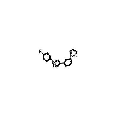 Fc1ccc(-n2cc(-c3cccc(-n4cccn4)c3)cn2)cc1